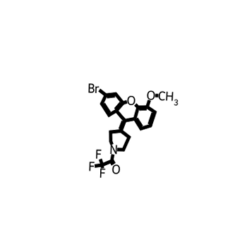 COc1cccc2c1Oc1cc(Br)ccc1C2=C1CCN(C(=O)C(F)(F)F)CC1